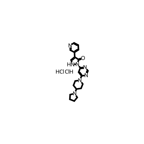 Cl.Cl.O=c1c(-c2cccnc2)c[nH]n1-c1cc(N2CCC(N3CCCC3)CC2)ncn1